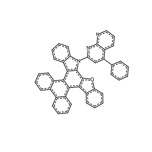 c1ccc(-c2cc(-n3c4ccccc4c4c5c6ccccc6c6ccccc6c5c5c6ccccc6oc5c43)nc3ncccc23)cc1